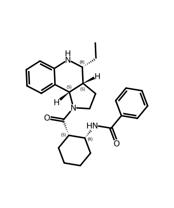 CC[C@H]1Nc2ccccc2[C@@H]2[C@H]1CCN2C(=O)[C@H]1CCCC[C@H]1NC(=O)c1ccccc1